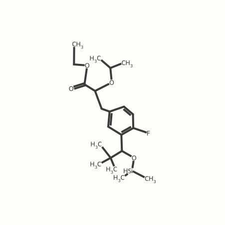 CCOC(=O)C(Cc1ccc(F)c(C(O[SiH](C)C)C(C)(C)C)c1)OC(C)C